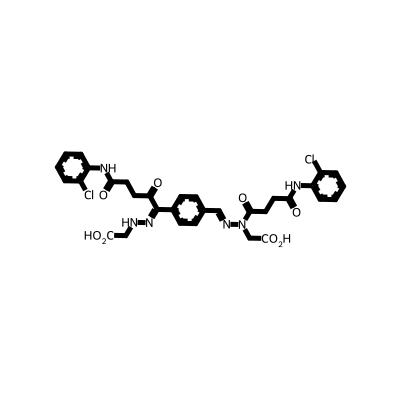 O=C(O)CNN=C(C(=O)CCC(=O)Nc1ccccc1Cl)c1ccc(C=NN(CC(=O)O)C(=O)CCC(=O)Nc2ccccc2Cl)cc1